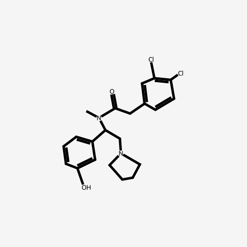 CN(C(=O)Cc1ccc(Cl)c(Cl)c1)C(CN1CCCC1)c1cccc(O)c1